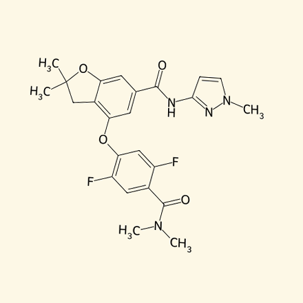 CN(C)C(=O)c1cc(F)c(Oc2cc(C(=O)Nc3ccn(C)n3)cc3c2CC(C)(C)O3)cc1F